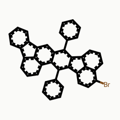 Brc1ccc2c3c(-c4ccccc4)c4c(cc5c6ccccc6c6cccc4c65)c(-c4ccccc4)c3c3cccc1c32